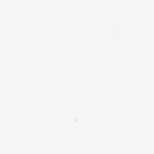 c1ccc(-n2c3c4ccccc4ccc3c3c(-c4ccc(-c5ccc6c(c5)-c5cccc7cccc(c57)S6)cc4)cc4ccccc4c32)cc1